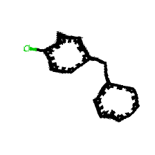 Clc1c[c]c(Cc2ccccc2)cc1